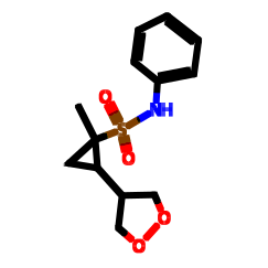 CC1(S(=O)(=O)Nc2ccccc2)CC1C1COOC1